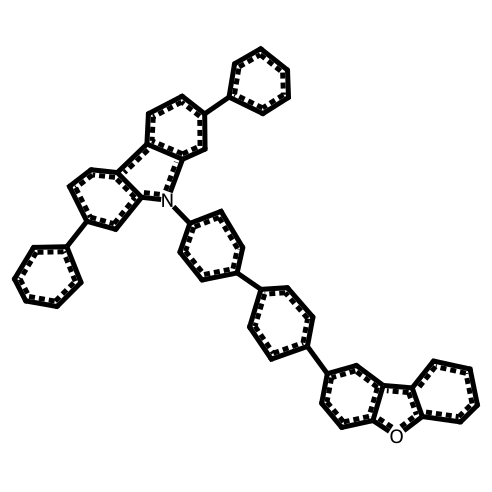 c1ccc(-c2ccc3c4ccc(-c5ccccc5)cc4n(-c4ccc(-c5ccc(-c6ccc7oc8ccccc8c7c6)cc5)cc4)c3c2)cc1